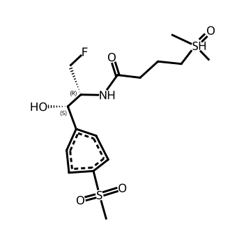 CS(=O)(=O)c1ccc([C@H](O)[C@H](CF)NC(=O)CCC[SH](C)(C)=O)cc1